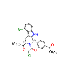 COC(=O)c1ccc([C@H]2c3[nH]c4cccc(Br)c4c3C[C@H](C(=O)OC)N2C(=O)CCl)cc1